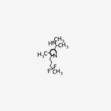 CNC(C)c1cnc(CCCC(C)(F)F)c(C)c1